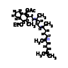 CCOc1c(C)c(C/C=C(\C)CC/C=C(\C)CC/C=C(\C)CCC=C(C)C)c(OC(C)=O)c2ccccc12